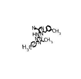 CCc1nc(Nc2nc(Cc3cccc(C)c3)ncc2C#N)nc(N2CCN(C)CC2)n1